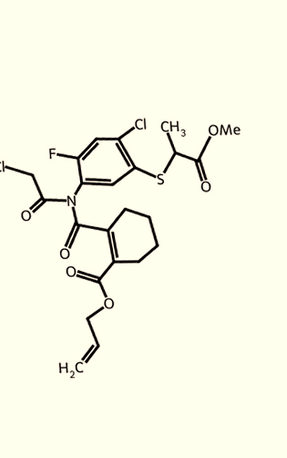 C=CCOC(=O)C1=C(C(=O)N(C(=O)CCl)c2cc(SC(C)C(=O)OC)c(Cl)cc2F)CCCC1